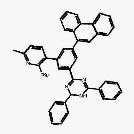 Cc1ccc(-c2cc(C3=NC(c4ccccc4)NC(c4ccccc4)=N3)cc(-c3cc4ccccc4c4ccccc34)c2)c(C(C)(C)C)n1